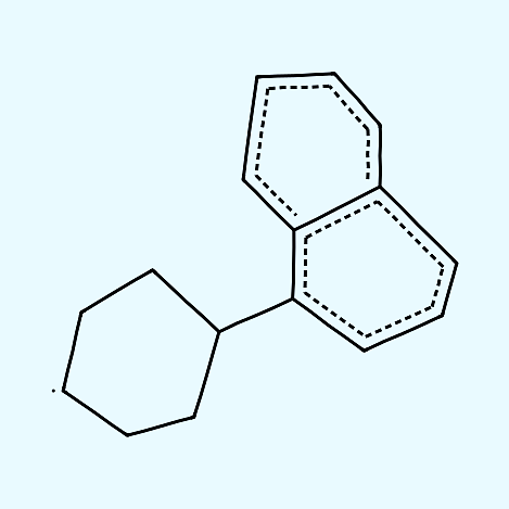 [CH]1CCC(c2cccc3ccccc23)CC1